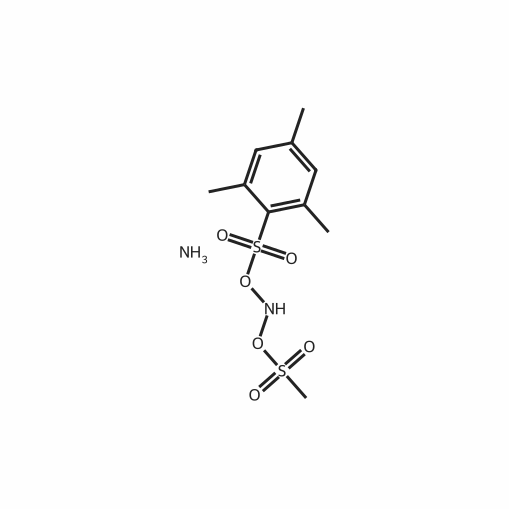 Cc1cc(C)c(S(=O)(=O)ONOS(C)(=O)=O)c(C)c1.N